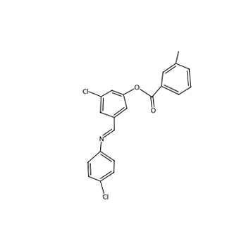 Cc1cccc(C(=O)Oc2cc(Cl)cc(C=Nc3ccc(Cl)cc3)c2)c1